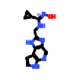 O/N=C(\NCc1nc2cnc3[nH]ccc3c2[nH]1)C1CC1